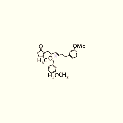 C=C.COc1cccc(CC/C=C/C(CC2=C(C)CCC2=O)OCc2ccccc2)c1